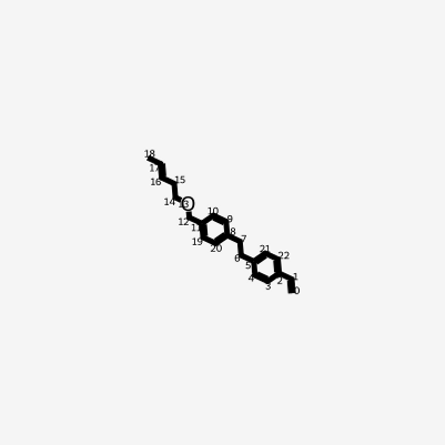 C=Cc1ccc(CCc2ccc(COCCC=CC)cc2)cc1